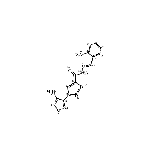 Nc1nonc1-n1cc(C(=O)NN=Cc2ccccc2[N+](=O)[O-])nn1